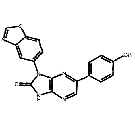 O=c1[nH]c2ncc(-c3ccc(O)cc3)nc2n1-c1ccc2scnc2c1